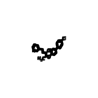 C[C@H](Oc1ccc(-c2ccc(Cl)cc2)cc1)[C@H](O)CCc1cccnc1